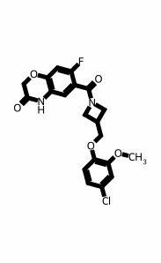 COc1cc(Cl)ccc1OCC1CN(C(=O)c2cc3c(cc2F)OCC(=O)N3)C1